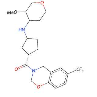 COC1COCCC1NC1CC[C@H](C(=O)N2COc3ccc(C(F)(F)F)cc3C2)C1